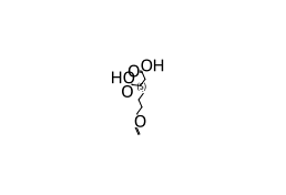 C=COCCCC[C@@H](CC(=O)O)C(=O)O